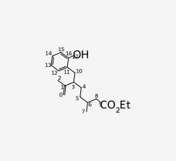 C=C(C)C(CCC(C)CC(=O)OCC)Cc1ccccc1O